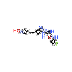 O=C(Cc1cc(Nc2ncnc3cc(C#CCCC4CCN(CO)CC4)ccc23)n[nH]1)Nc1cccc(F)c1